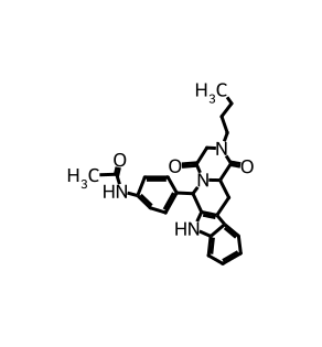 CCCCN1CC(=O)N2C(Cc3c([nH]c4ccccc34)C2c2ccc(NC(C)=O)cc2)C1=O